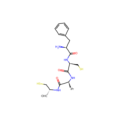 CC(C)[C@H](NC(=O)[C@H](CS)NC(=O)[C@@H](N)Cc1ccccc1)C(=O)N[C@H]([C]=O)CS